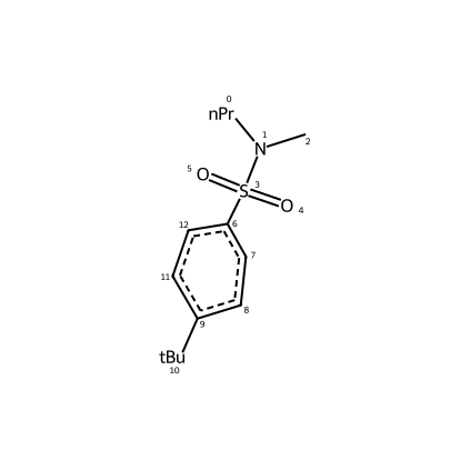 CCCN(C)S(=O)(=O)c1ccc(C(C)(C)C)cc1